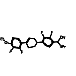 CCCC(O)c1ccc(C2CC=C(c3ccc(OCC)c(F)c3F)CC2)c(F)c1F